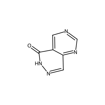 O=c1[nH]ncc2ncncc12